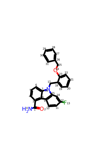 NC(=O)c1cccc2c1c1[c]cc(F)cc1n2Cc1ccccc1OCc1ccccc1